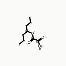 CCCC(CCC)OC(=O)C(=O)O